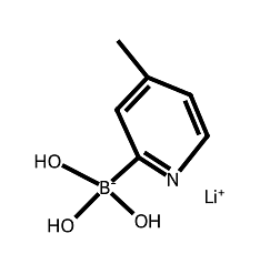 Cc1ccnc([B-](O)(O)O)c1.[Li+]